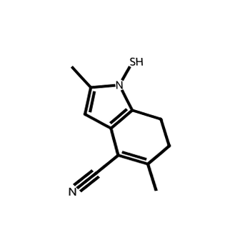 CC1=C(C#N)c2cc(C)n(S)c2CC1